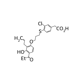 C=CCc1c(OCCCSc2ccc(CC(=O)O)cc2Cl)ccc(C(=O)CC)c1O